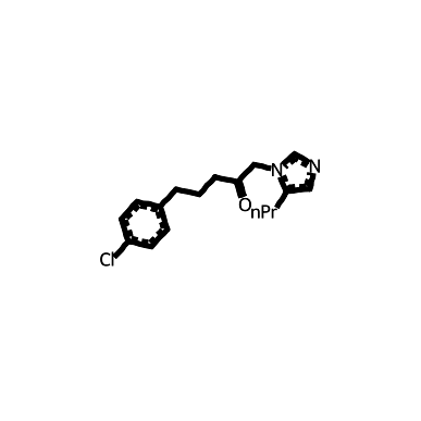 CCCc1cncn1CC(=O)CCCc1ccc(Cl)cc1